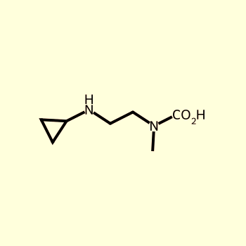 CN(CCNC1CC1)C(=O)O